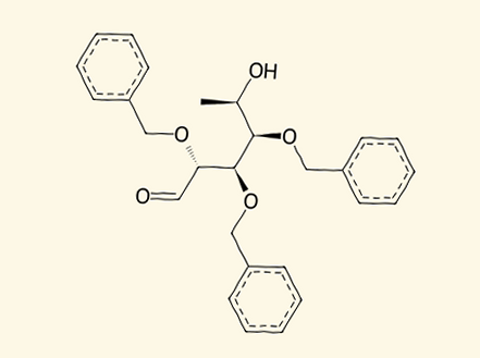 C[C@@H](O)[C@@H](OCc1ccccc1)[C@@H](OCc1ccccc1)[C@H](C=O)OCc1ccccc1